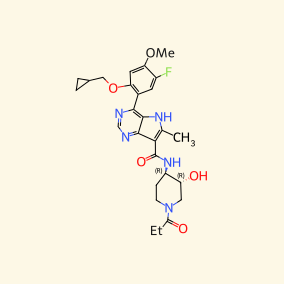 CCC(=O)N1CC[C@@H](NC(=O)c2c(C)[nH]c3c(-c4cc(F)c(OC)cc4OCC4CC4)ncnc23)[C@H](O)C1